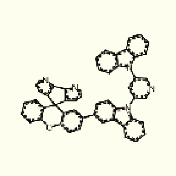 c1ccc2c(c1)Oc1ccc(-c3ccc4c(c3)c3ccccc3n4-c3cncc(-n4c5ccccc5c5ccccc54)c3)cc1C21c2cccnc2-c2ncccc21